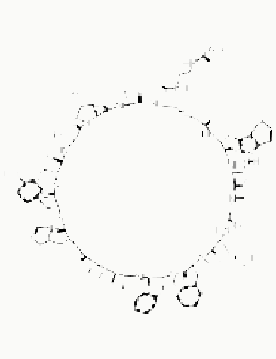 CCCCCCCCCC(=O)NCCNC(=O)[C@@H]1CSCC(=O)N[C@@H](Cc2c[nH]c3c2CCC=C3)C(=O)N[C@@H]([C@@H](C)O)C(=O)N(C)CC(=O)N[C@@H](CC(=O)O)C(=O)N(C)[C@@H](Cc2ccccc2)C(=O)N(C)[C@@H](Cc2ccccc2)C(=O)N[C@@H](C)C(=O)N(C)[C@@H](C)C(=O)NC(CC2CN=CN2)C(=O)N[C@@H](Cc2ccc(O)cc2)C(=O)N[C@@H]([C@@H](C)O)C(=O)N[C@@H](C(C)C)C(=O)N2C[C@H](O)C[C@H]2C(=O)N[C@@H](C)C(=O)N1